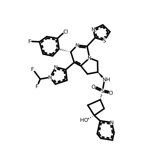 O=S(=O)(N[C@H]1CC2=C(c3ccn(C(F)F)n3)[C@H](c3ccc(F)cc3Cl)N=C(c3nccs3)N2C1)[C@H]1C[C@](O)(c2ccccn2)C1